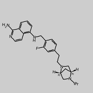 CC(C)N1C[C@H]2C[C@@H]1CN2CCc1ccc(CNc2cccc3c(N)nccc23)c(F)c1